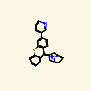 c1cncc(-c2ccc3c(c2)Sc2ccccc2C3=C2CC3CCC(C2)N3)c1